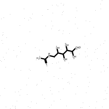 CC(=S)NCC(O)C(O)C(O)C(O)C=O